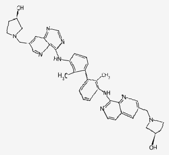 Cc1c(Nc2nccc3cc(CN4CC[C@@H](O)C4)cnc23)cccc1-c1cccc(Nc2ncnc3cc(CN4CC[C@@H](O)C4)cnc23)c1C